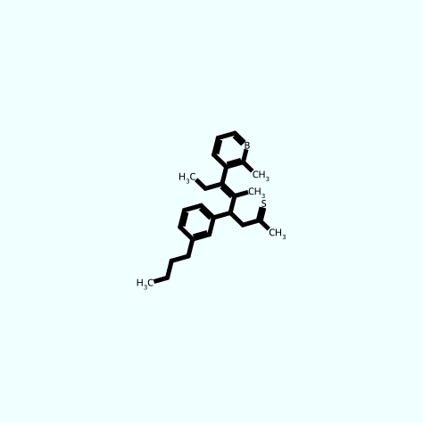 CCCCc1cccc(C(CC(C)=S)/C(C)=C(\CC)c2cccbc2C)c1